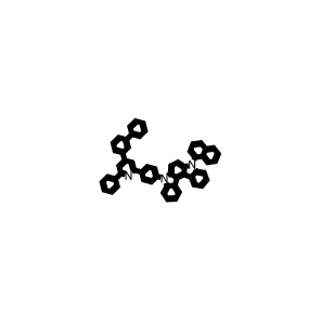 c1ccc(-c2cccc(-c3cc(-c4ccccc4)nc(-c4ccc(-n5c6ccccc6c6c7c8ccccc8n(-c8cccc9ccccc89)c7ccc65)cc4)c3)c2)cc1